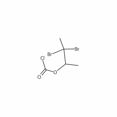 CC(OC(=O)Cl)C(C)(Br)Br